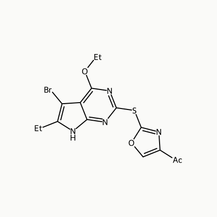 CCOc1nc(Sc2nc(C(C)=O)co2)nc2[nH]c(CC)c(Br)c12